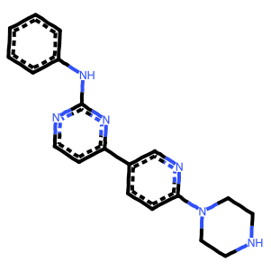 c1ccc(Nc2nccc(-c3ccc(N4CCNCC4)nc3)n2)cc1